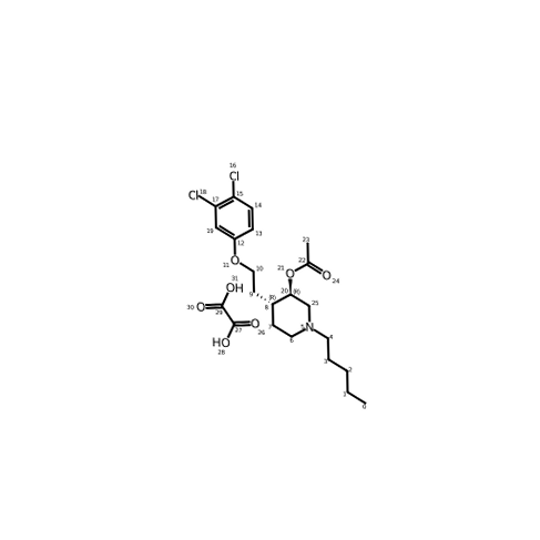 CCCCCN1CC[C@H](CCOc2ccc(Cl)c(Cl)c2)[C@@H](OC(C)=O)C1.O=C(O)C(=O)O